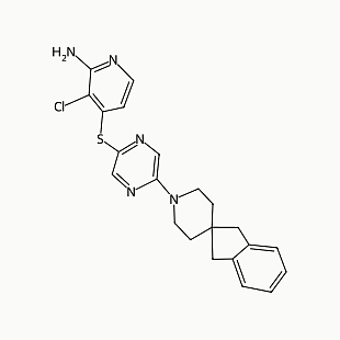 Nc1nccc(Sc2cnc(N3CCC4(CC3)Cc3ccccc3C4)cn2)c1Cl